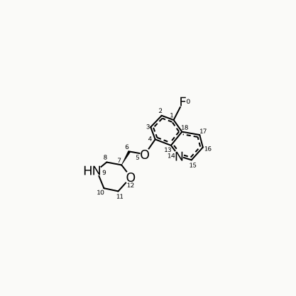 Fc1ccc(OC[C@@H]2CNCCO2)c2ncccc12